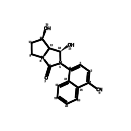 N#Cc1ccc(N2C(=O)N3CC[C@@H](O)C3[C@@H]2O)c2ccccc12